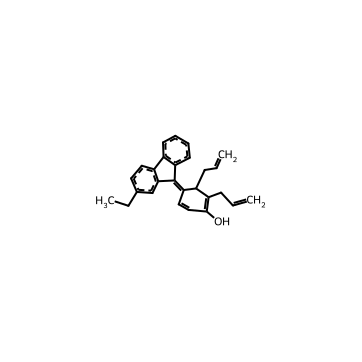 C=CCC1=C(O)C=CC(=C2c3ccccc3-c3ccc(CC)cc32)C1CC=C